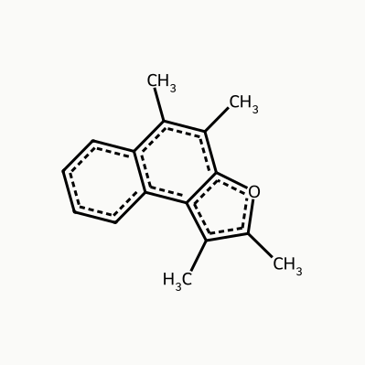 Cc1oc2c(C)c(C)c3ccccc3c2c1C